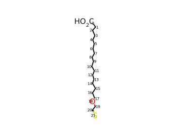 O=C(O)CCCCCCCCCCCCCCCCCOCC=S